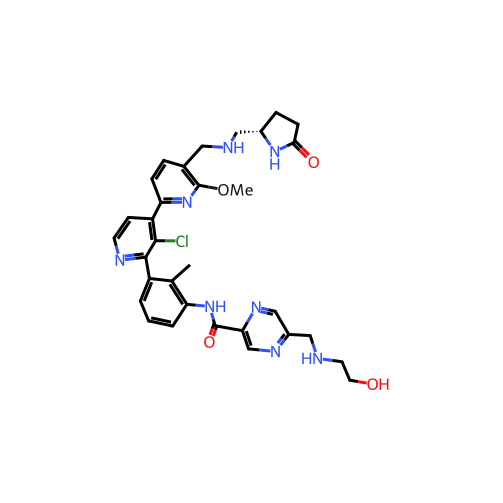 COc1nc(-c2ccnc(-c3cccc(NC(=O)c4cnc(CNCCO)cn4)c3C)c2Cl)ccc1CNC[C@@H]1CCC(=O)N1